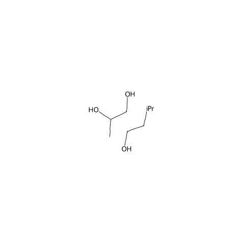 CC(C)CCO.CC(O)CO